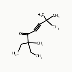 CCC(C)(CC)C(=O)C#CC(C)(C)C